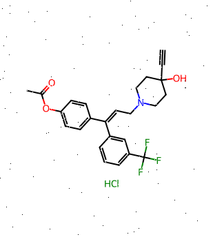 C#CC1(O)CCN(CC=C(c2ccc(OC(C)=O)cc2)c2cccc(C(F)(F)F)c2)CC1.Cl